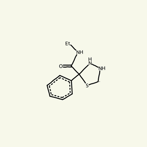 CCNC(=O)C1(c2ccccc2)NN[CH]S1